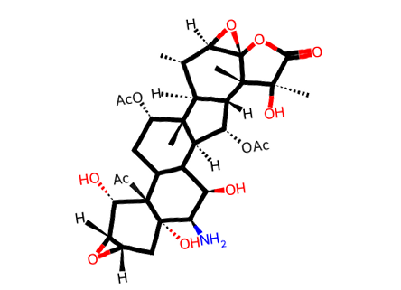 CC(=O)O[C@H]1[C@@H]2[C@H]([C@H](C)[C@H]3O[C@]34OC(=O)[C@@](C)(O)[C@]24C)[C@@]2(C)[C@@H](OC(C)=O)CC3C([C@@H](O)[C@@H](N)[C@@]4(O)C[C@@H]5O[C@@H]5[C@H](O)[C@]34C(C)=O)[C@H]12